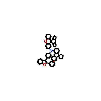 c1ccc(-c2oc3ccccc3c2-c2ccc(N(c3ccc4c(c3)C3(c5ccccc5O4)c4ccccc4-c4ccccc43)c3cccc4c3-c3ccccc3C43CCCC3)cc2)cc1